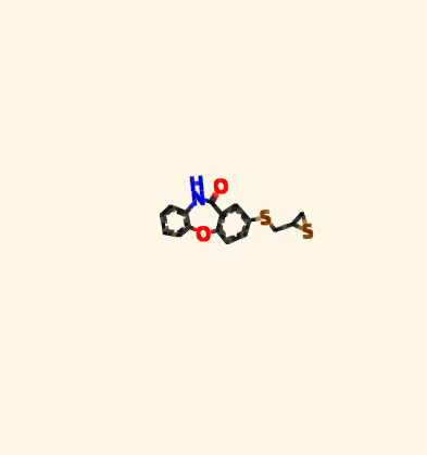 O=C1Nc2ccccc2Oc2ccc(SCC3CS3)cc21